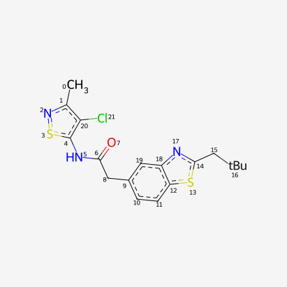 Cc1nsc(NC(=O)Cc2ccc3sc(CC(C)(C)C)nc3c2)c1Cl